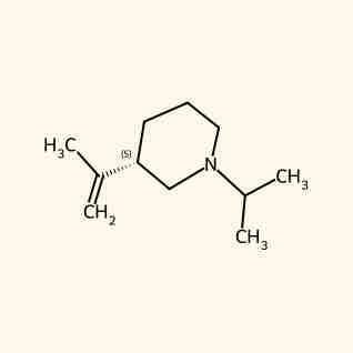 C=C(C)[C@@H]1CCCN(C(C)C)C1